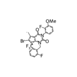 [CH2]c1c(Br)sc2c1c(=O)n(-c1cccc(OC)c1F)c(=O)n2Cc1c(F)cccc1C(F)(F)F